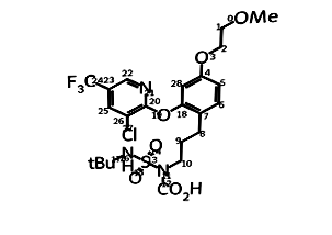 COCCOc1ccc(CCCN(C(=O)O)S(=O)(=O)NC(C)(C)C)c(Oc2ncc(C(F)(F)F)cc2Cl)c1